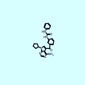 Nc1ncnc2c1c(C(=O)c1cccc(NC(=O)Nc3ccccc3)c1)cn2C1CCCC1